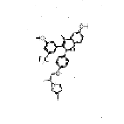 CC1=C(c2cc(O)cc(C(F)(F)F)c2)C(c2ccc(OCC(C)N3CCC(C)C3)cc2)Oc2ccc(O)cc21